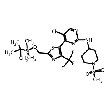 CC(C)(C)[Si](C)(C)OCc1nc(C(F)(F)F)c(-c2nc(NC3CCN(S(C)(=O)=O)CC3)ncc2Cl)s1